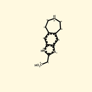 O=C(O)Cc1nc2cc3c(cc2[nH]1)CCNCC3